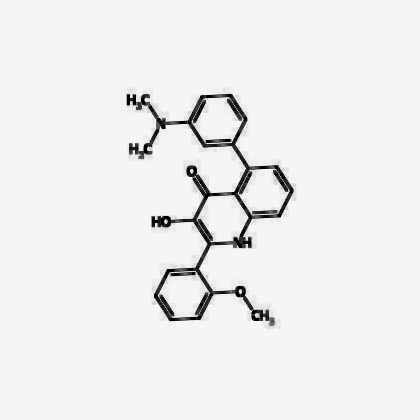 COc1ccccc1-c1[nH]c2cccc(-c3cccc(N(C)C)c3)c2c(=O)c1O